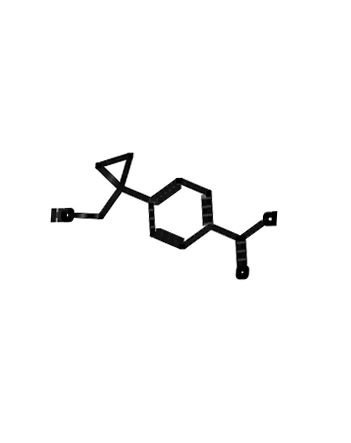 O=C(Cl)c1ccc(C2(CO)CC2)cc1